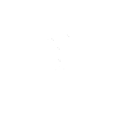 CC(C)(C)OC(=O)N1CCN(C(N)C#N)CC1